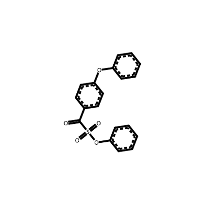 O=C(c1ccc(Oc2ccccc2)cc1)S(=O)(=O)Oc1ccccc1